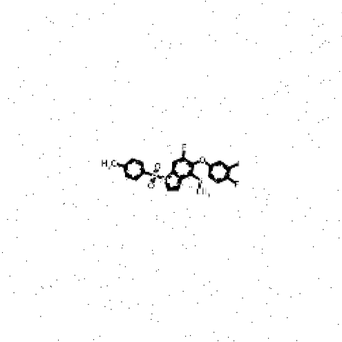 CSc1c(Oc2ccc(F)c(I)c2)c(F)cc2c1ccn2S(=O)(=O)c1ccc(C)cc1